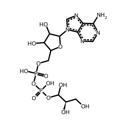 Nc1ncnc2c1ncn2C1OC(COP(=O)(O)OP(=O)(O)OC(O)[C@H](O)CO)C(O)C1O